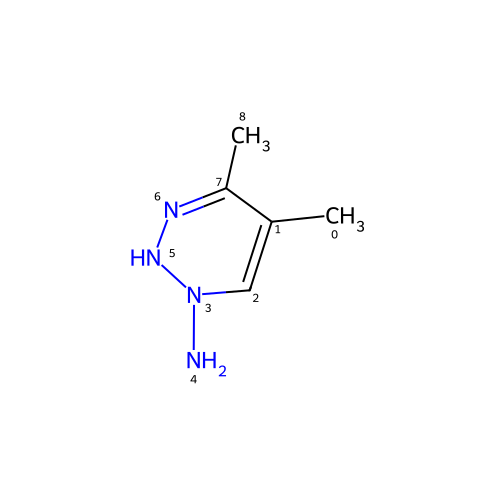 CC1=CN(N)NN=C1C